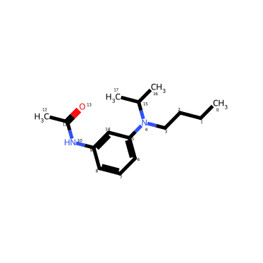 CCCCN(c1cccc(NC(C)=O)c1)C(C)C